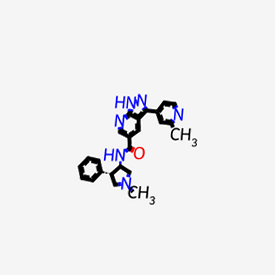 Cc1cc(-c2n[nH]c3ncc(C(=O)N[C@H]4CN(C)C[C@@H]4c4ccccc4)cc23)ccn1